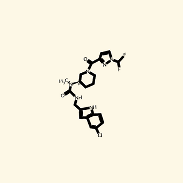 CN(C(=O)NCc1cc2cc(Cl)ccc2[nH]1)[C@@H]1CCCN(C(=O)c2ccn(C(F)F)n2)C1